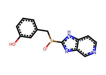 [O-][S+](Cc1cccc(O)c1)c1nc2cnccc2[nH]1